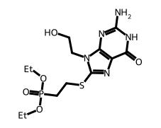 CCOP(=O)(CCSc1nc2c(=O)[nH]c(N)nc2n1CCO)OCC